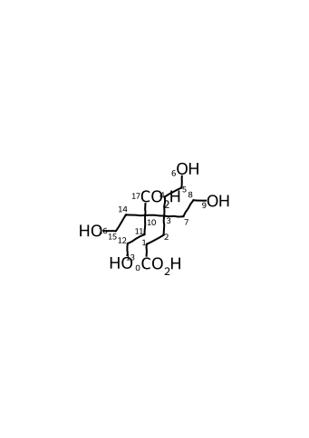 O=C(O)CCC(CCO)(CCO)C(CCO)(CCO)C(=O)O